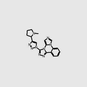 CN1CCCC1c1cn(-c2nnc3c4ccccc4n4cncc4n23)nn1